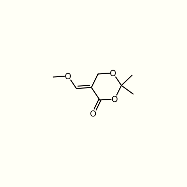 CO/C=C1\COC(C)(C)OC1=O